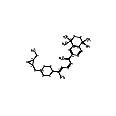 C=C(/C=C\C=C(/C)C1CCN(CC2CC2CO)CC1)c1ccc2c(c1)C(C)(C)CCC2(C)C